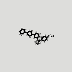 CC(C)(C)c1ccc(-c2nncn2-c2cccc(-c3ccc(-c4ccccc4)cc3)c2)cc1